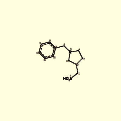 O=S(=O)(O)CC1CCN(Cc2ccccc2)C1